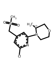 C[C@H]1COCCN1c1cc(CS(C)(=O)=O)cc(Cl)n1